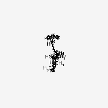 Cc1ncsc1-c1ccc([C@H](C)NC(=O)[C@@H]2C[C@@H](O)CN2C(=O)[C@@H](NC(=O)CCCCCCNC(=O)COc2c(-c3csc(N4CCOCC4)n3)ccc(F)c2F)C(C)(C)C)cc1